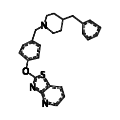 c1ccc(CC2CCN(Cc3ccc(Oc4nc5ncccc5s4)cc3)CC2)cc1